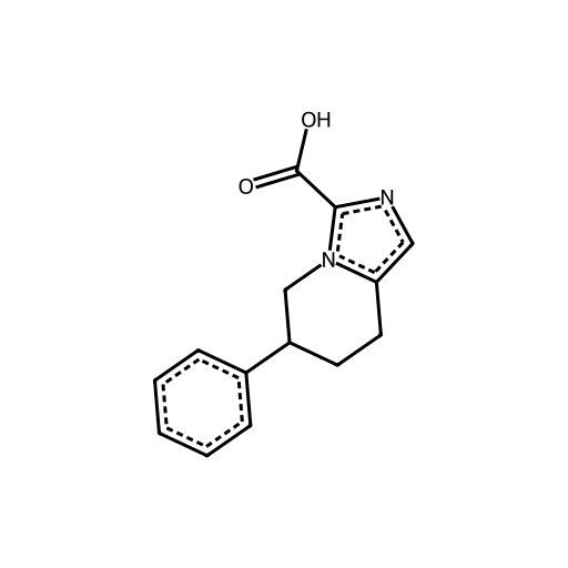 O=C(O)c1ncc2n1CC(c1ccccc1)CC2